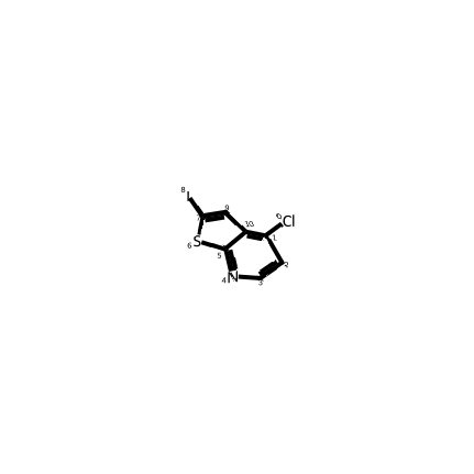 Clc1ccnc2sc(I)cc12